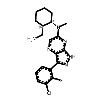 CN(c1cnc2c(-c3cccc(Cl)c3F)n[nH]c2n1)[C@H]1CCCC[C@@H]1CN